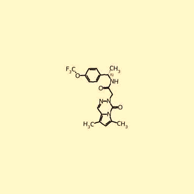 Cc1cc(C)n2c(=O)n(CC(=O)N[C@@H](C)c3ccc(OC(F)(F)F)cc3)ncc12